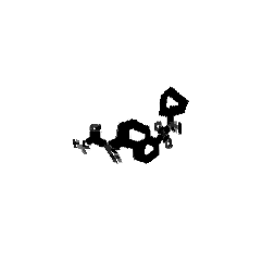 CC(=O)Nc1cccc2c(S(=O)(=O)Nc3ccccc3)cccc12